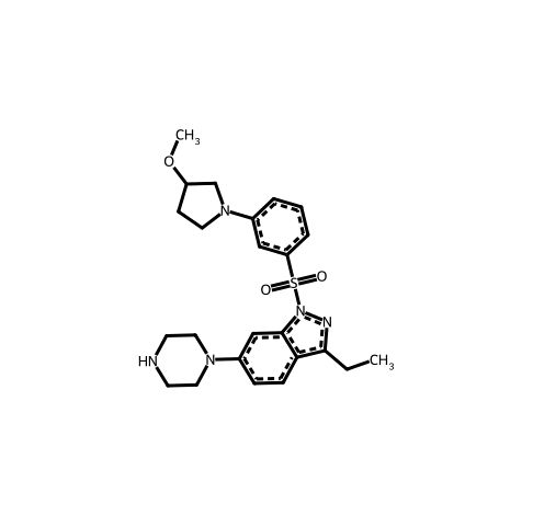 CCc1nn(S(=O)(=O)c2cccc(N3CCC(OC)C3)c2)c2cc(N3CCNCC3)ccc12